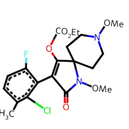 CCOC(=O)OC1=C(c2c(F)ccc(C)c2Cl)C(=O)N(OC)C12CCN(OC)CC2